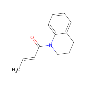 CC=CC(=O)N1CCCc2ccccc21